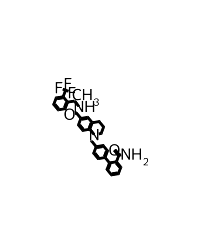 CC(NC(=O)c1ccc2c(c1)CCCN2Cc1ccc(-c2ccccc2C(N)=O)cc1)c1ccccc1C(F)(F)F